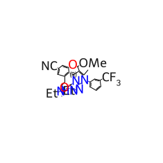 CC[N+](C)(CC)CCc1cc(C#N)ccc1[C@@H]1C(C(=O)OC)=C(C)N(c2cccc(C(F)(F)F)c2)c2n[nH]c(=O)n21